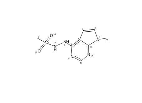 Cn1ccc2c(NNS(C)(=O)=O)ncnc21